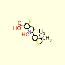 CC1(C)CCSc2ccc(C(/C=C\c3ccc(C(=O)O)cc3F)=NO)cc21